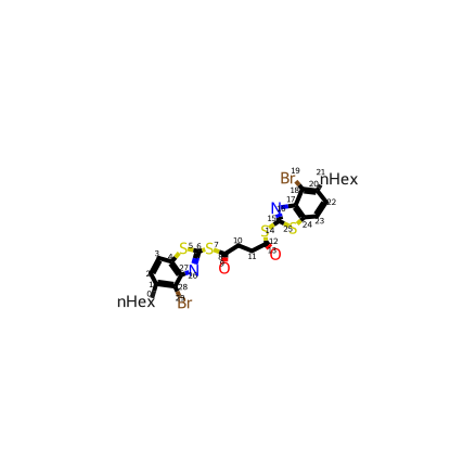 CCCCCCc1ccc2sc(SC(=O)CCC(=O)Sc3nc4c(Br)c(CCCCCC)ccc4s3)nc2c1Br